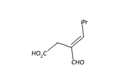 CC(C)C=C(C=O)CC(=O)O